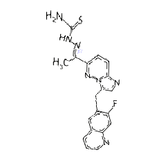 C/C(=N\NC(N)=S)c1ccc2ncc(Cc3cc4cccnc4cc3F)n2n1